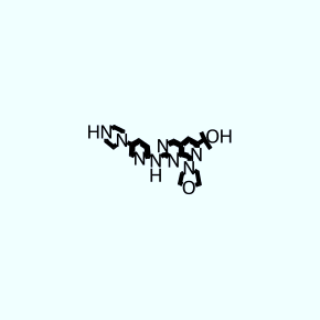 CC(C)(O)c1cc2cnc(Nc3ccc(N4CCNCC4)cn3)nc2c(N2CCOCC2)n1